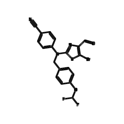 N#Cc1ccc(N(Cc2ccc(OC(F)F)cc2)c2nc(C=O)c(Br)s2)cc1